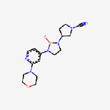 N#CN1CCC(N2CCN(c3ccnc(N4CCOCC4)c3)[S+]2[O-])C1